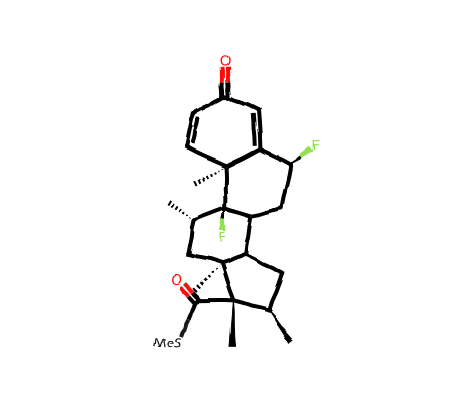 CSC(=O)[C@@]1(C)[C@H](C)CC2C3C[C@H](F)C4=CC(=O)C=C[C@]4(C)[C@@]3(F)[C@@H](C)C[C@@]21C